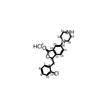 Cl.O=C1OC(Cc2ccccc2Cl)c2ccc(N3CCNCC3)cc21